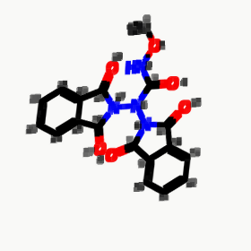 CC(C)(C)ONC(=O)N(N1C(=O)c2ccccc2C1=O)N1C(=O)c2ccccc2C1=O